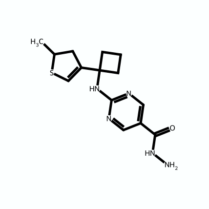 CC1CC(C2(Nc3ncc(C(=O)NN)cn3)CCC2)=CS1